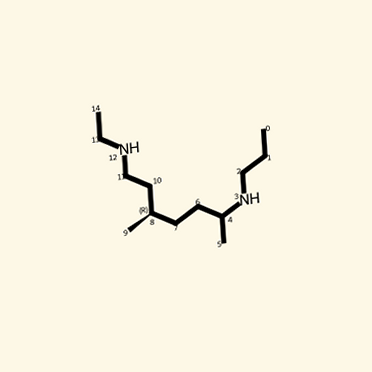 CCCNC(C)CC[C@@H](C)CCNCC